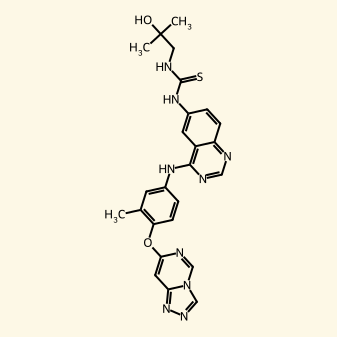 Cc1cc(Nc2ncnc3ccc(NC(=S)NCC(C)(C)O)cc23)ccc1Oc1cc2nncn2cn1